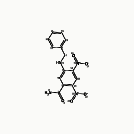 NC(=O)c1cc(NCc2ccccc2)c([N+](=O)[O-])cc1[N+](=O)[O-]